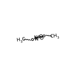 CCCCCCCC[C@H]1CC[C@H](c2cnc(-c3ccc(OC(=O)[C@H]4CC[C@H](CCCCCCC)CC4)cc3)nc2)CC1